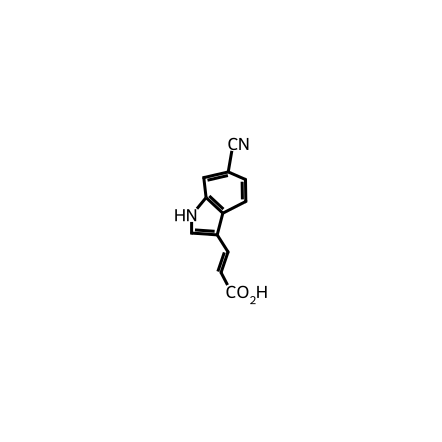 N#Cc1ccc2c(C=CC(=O)O)c[nH]c2c1